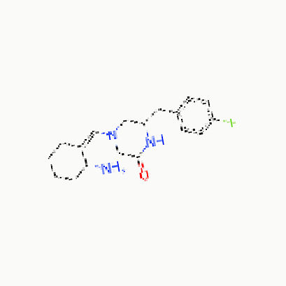 N[C@@H]1CCCC/C1=C/N1CC(=O)N[C@@H](Cc2ccc(F)cc2)C1